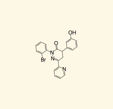 O=C1C(c2cccc(O)c2)CC(c2ccccn2)=NN1c1ccccc1Br